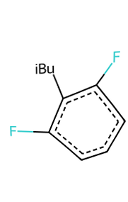 CCC(C)c1c(F)cccc1F